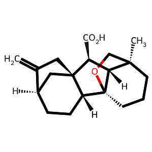 C=C1C[C@]23C[C@H]1CC[C@H]2[C@@]12CCC[C@](C)(CO1)[C@H]2[C@@H]3C(=O)O